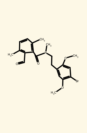 COc1cc(CCN(C)C(=O)c2c(C)ccc(C)c2C=O)c(OC)cc1Br